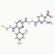 Nc1nc(NCCNc2ncc(NCC=S)c(-c3ccc(Cl)cc3Cl)n2)ccc1[N+](=O)[O-]